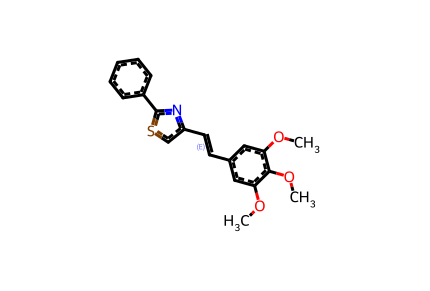 COc1cc(/C=C/c2csc(-c3ccccc3)n2)cc(OC)c1OC